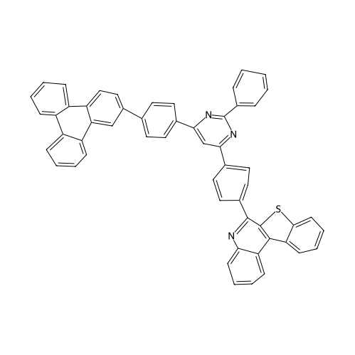 c1ccc(-c2nc(-c3ccc(-c4ccc5c6ccccc6c6ccccc6c5c4)cc3)cc(-c3ccc(-c4nc5ccccc5c5c4sc4ccccc45)cc3)n2)cc1